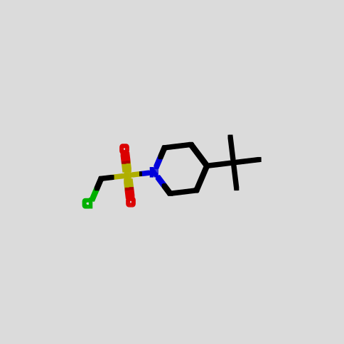 CC(C)(C)C1CCN(S(=O)(=O)CCl)CC1